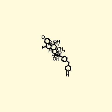 C[C@]12C=CC(=O)C=C1[C@@H](F)C[C@H]1C3C[C@H]4CN(c5ccc(CC6CCNCC6)cc5)O[C@@]4(C(=O)CO)[C@@]3(C)C[C@H](O)[C@@]12F